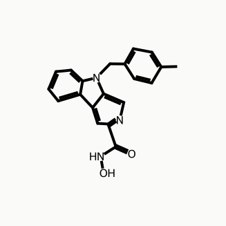 Cc1ccc(Cn2c3ccccc3c3cc(C(=O)NO)ncc32)cc1